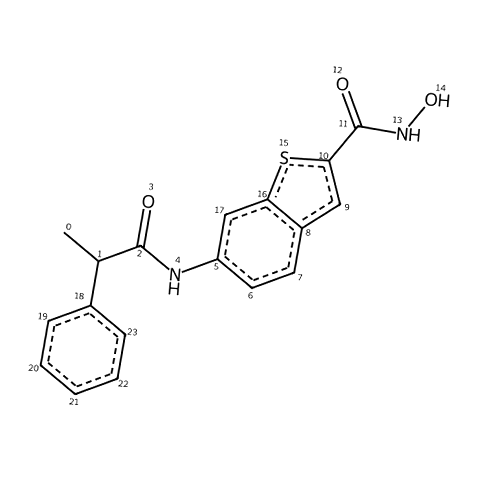 CC(C(=O)Nc1ccc2cc(C(=O)NO)sc2c1)c1ccccc1